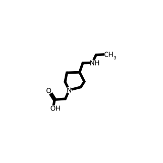 CCNCC1CCN(CC(=O)O)CC1